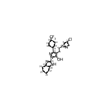 Oc1c(CCn2cc(Cl)cn2)c(-c2ccc(C(F)(F)F)cc2)nn1-c1nc2ccccc2[nH]1